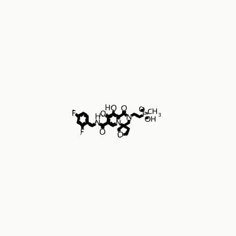 CP(=O)(O)CCN1CC2(CCOC2)n2cc(C(=O)NCc3ccc(F)cc3F)c(=O)c(O)c2C1=O